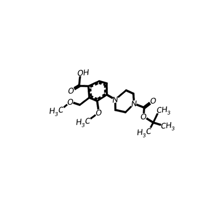 COCc1c(C(=O)O)ccc(N2CCN(C(=O)OC(C)(C)C)CC2)c1OC